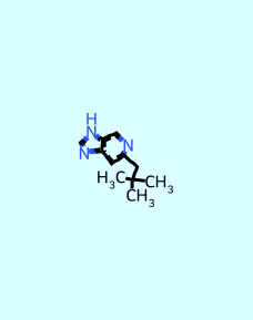 CC(C)(C)Cc1cc2nc[nH]c2cn1